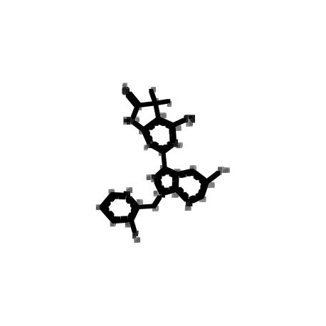 CC1(C)C(=O)Nc2nc(-c3nn(Cc4ncccc4F)c4ncc(F)cc34)nc(C#N)c21